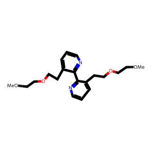 COCCOCCc1cccnc1-c1ncccc1CCOCCOC